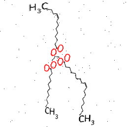 CCCC/C=C\CCCCCCCC(=O)O[C@@H](COC(=O)CCCCCCC/C=C\CCCCCCCC)COC(=O)CCCCCCCCCCC